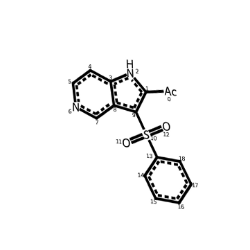 CC(=O)c1[nH]c2ccncc2c1S(=O)(=O)c1ccccc1